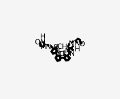 COc1nc(-c2cccc(-c3cccc(-c4ncc5c(n4)CCN(C[C@@H]4CCC(=O)N4)C5)c3Cl)c2Cl)ccc1CNC[C@H]1CCC(=O)N1